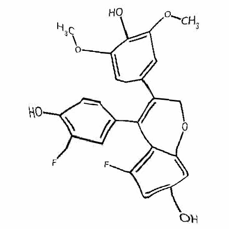 COc1cc(C2=C(c3ccc(O)c(F)c3)c3c(F)cc(O)cc3OC2)cc(OC)c1O